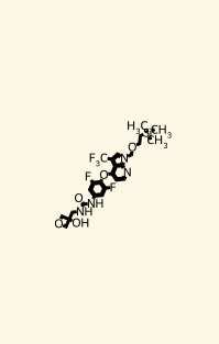 C[Si](C)(C)CCOCn1cc(C(F)(F)F)c2c(Oc3c(F)cc(NC(=O)NCC4(O)COC4)cc3F)ccnc21